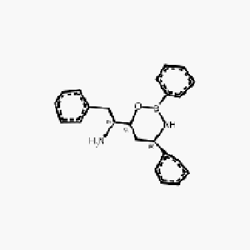 N[C@@H](Cc1ccccc1)[C@@H]1C[C@H](c2ccccc2)NB(c2ccccc2)O1